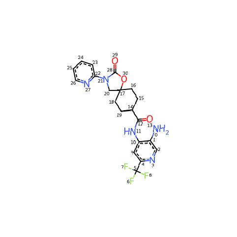 Nc1cnc(C(F)(F)F)cc1NC(=O)C1CCC2(CC1)CN(c1ccccn1)C(=O)O2